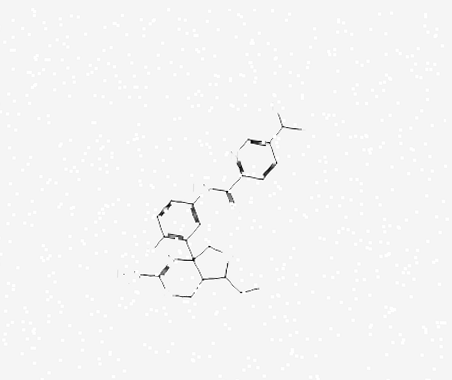 NC1=NC2(c3cc(NC(=O)c4ccc(C(F)F)cn4)ccc3F)COC(CF)C2CO1